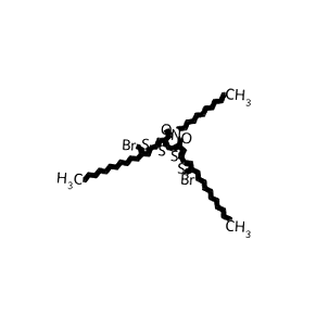 CCCCCCCCCCCCc1cc(-c2cc3c(=O)n(CCCCCCCCCCCC)c(=O)c4cc(-c5cc(CCCCCCCCCCCC)c(Br)s5)sc4c3s2)sc1Br